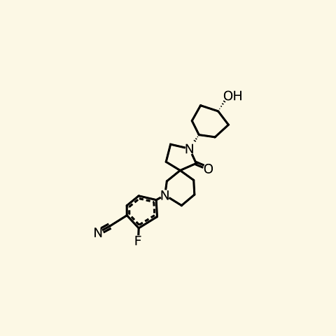 N#Cc1ccc(N2CCCC3(CCN([C@H]4CC[C@@H](O)CC4)C3=O)C2)cc1F